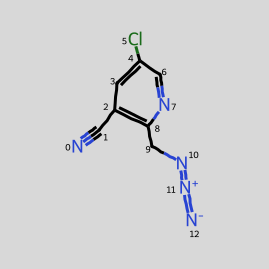 N#Cc1cc(Cl)cnc1CN=[N+]=[N-]